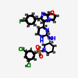 O=S(=O)(c1cc(Cl)cc(Cl)c1)N1CCC[C@@H](NC2N=C(c3c(-c4ccc(F)cc4)nc4occn34)C=CN2)C1